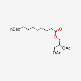 CCCCCCCCCCCCCCCCCC(=O)OCC(COC(C)=O)OC(C)=O